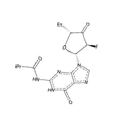 CC[C@H]1O[C@@H](n2cnc3c(=O)[nH]c(NC(=O)C(C)C)nc32)[C@H](F)C1=O